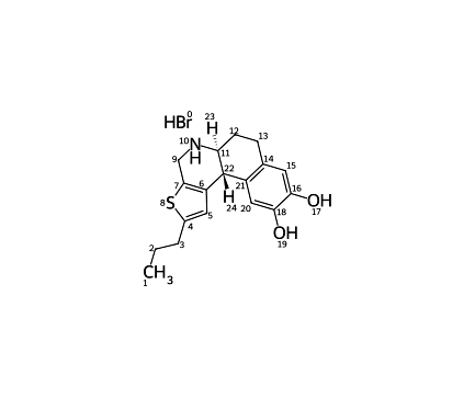 Br.CCCc1cc2c(s1)CN[C@H]1CCc3cc(O)c(O)cc3[C@H]21